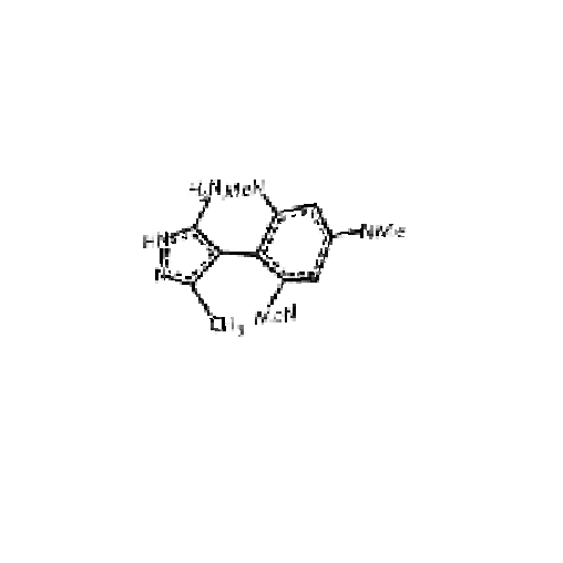 CNc1cc(NC)c(-c2c(C)n[nH]c2N)c(NC)c1